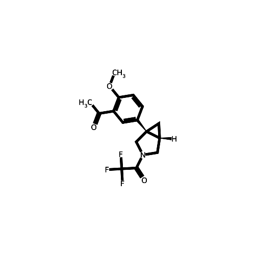 COc1ccc([C@@]23C[C@@H]2CN(C(=O)C(F)(F)F)C3)cc1C(C)=O